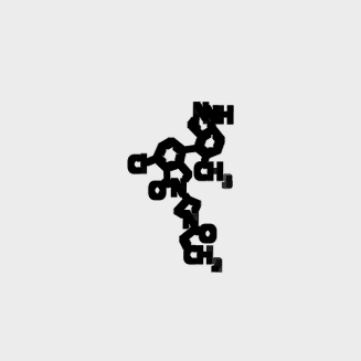 C=CC(=O)N1CC(N2Cc3c(-c4c(C)ccc5[nH]ncc45)ccc(Cl)c3C2=O)C1